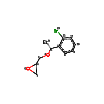 CC[C@@H](OCC1CO1)c1ccccc1Br